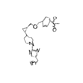 CC(C)Cc1cnc(N2CCC([C@H]3C[C@H]3COCc3ccc(S(C)(=O)=O)cc3)CC2)nc1